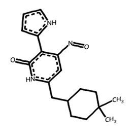 CC1(C)CCC(Cc2cc(N=O)c(-c3ccc[nH]3)c(=O)[nH]2)CC1